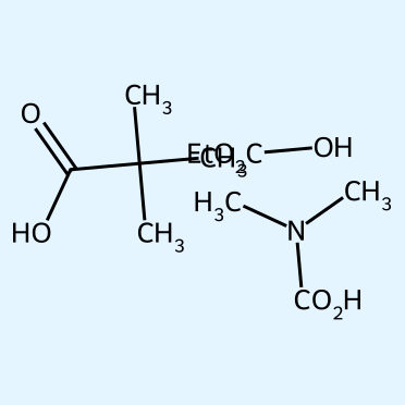 CC(C)(C)C(=O)O.CCOC(=O)O.CN(C)C(=O)O